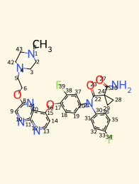 CN1CCN(CCOc2cnc3nccc(Oc4ccc(N(C(=O)C5(C(N)=O)CC5)c5ccc(F)cc5)cc4F)c3n2)CC1